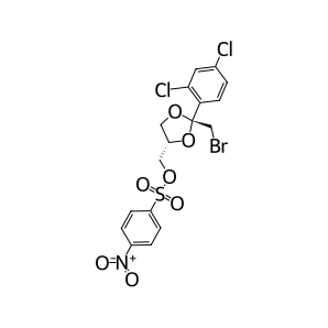 O=[N+]([O-])c1ccc(S(=O)(=O)OC[C@@H]2CO[C@](CBr)(c3ccc(Cl)cc3Cl)O2)cc1